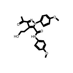 COc1ccc(NC(=O)c2c(CCO)c(C(C)=O)nn2-c2ccc(OC)cc2)cc1